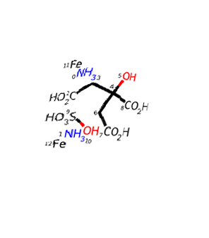 N.N.O=C(O)CC(O)(CC(=O)O)C(=O)O.O=S(=O)(O)O.[Fe].[Fe]